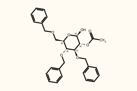 CC(=O)O[C@@H]1[C@@H](OCc2ccccc2)[C@H](OCc2ccccc2)[C@@H](COCc2ccccc2)O[C@H]1O